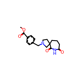 COC(=O)c1ccc(CN2CCC3(CCCC(=O)NC3=O)C2)cc1